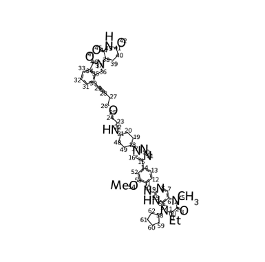 CC[C@@H]1C(=O)N(C)c2cnc(Nc3ccc(-c4cn([C@H]5CC[C@@H](NCCOCCC#Cc6cccc7c6CN(C6CCC(=O)NC6=O)C7=O)CC5)nn4)cc3OC)nc2N1C1CCCC1